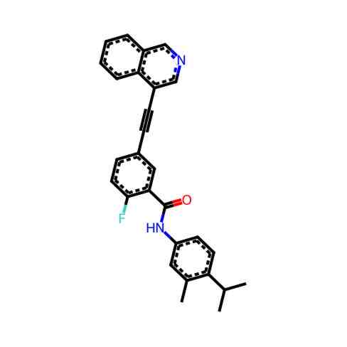 Cc1cc(NC(=O)c2cc(C#Cc3cncc4ccccc34)ccc2F)ccc1C(C)C